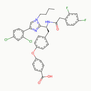 CCCCn1cc(-c2ccc(Cl)cc2Cl)nc1[C@H](Cc1ccc(Oc2ccc(C(=O)O)cc2)cc1)NC(=O)Cc1ccc(F)cc1F